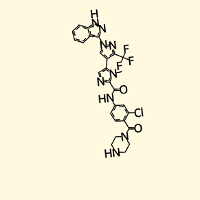 Cn1c(-c2cn(-c3n[nH]c4ccccc34)nc2C(F)(F)F)cnc1C(=O)Nc1ccc(C(=O)N2CCNCC2)c(Cl)c1